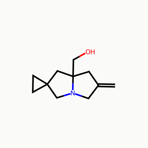 C=C1CN2CC3(CC3)CC2(CO)C1